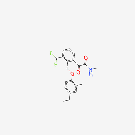 CCc1ccc(OCc2c(C(=O)C(=O)NC)cccc2C(F)F)c(C)c1